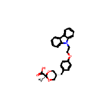 C[C@]1(C(=O)O)OC[C@H](Cc2ccc(OCCn3c4ccccc4c4ccccc43)cc2)CO1